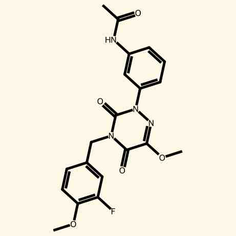 COc1ccc(Cn2c(=O)c(OC)nn(-c3cccc(NC(C)=O)c3)c2=O)cc1F